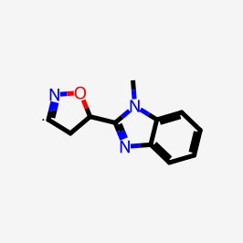 Cn1c(C2C[C]=NO2)nc2ccccc21